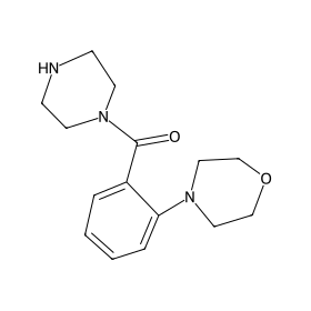 O=C(c1ccccc1N1CCOCC1)N1CCNCC1